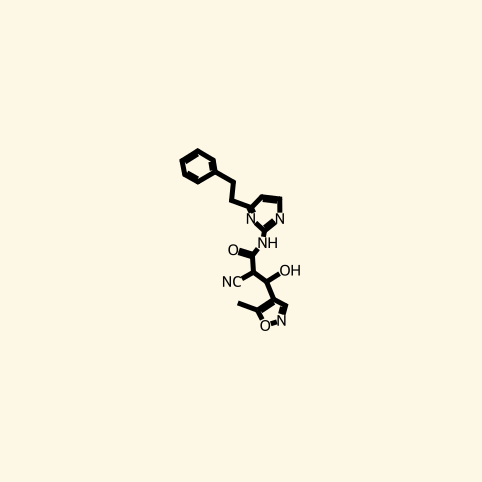 Cc1oncc1C(O)C(C#N)C(=O)Nc1nccc(CCc2ccccc2)n1